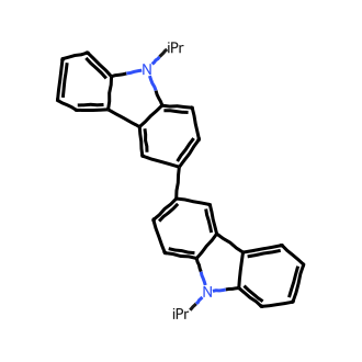 CC(C)n1c2ccccc2c2cc(-c3ccc4c(c3)c3ccccc3n4C(C)C)ccc21